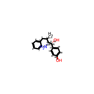 CC(Cc1ccccc1)[C@@H](N)[C@H](O)c1ccc(O)cc1